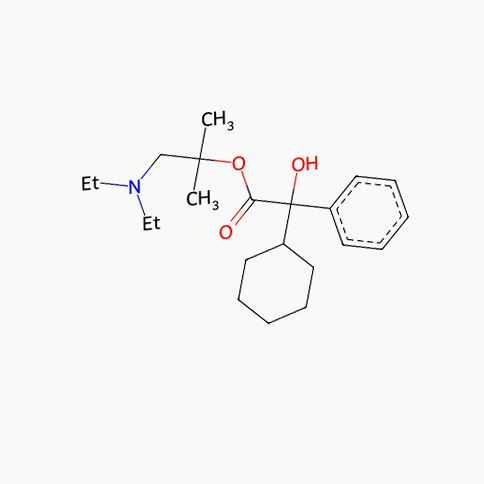 CCN(CC)CC(C)(C)OC(=O)C(O)(c1ccccc1)C1CCCCC1